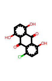 O=C1c2c(O)ccc(O)c2C(=O)c2c(Cl)ccc(O)c21